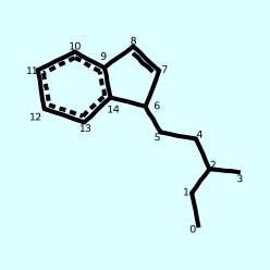 CCC(C)CCC1C=Cc2ccccc21